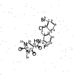 Cc1c(-c2cccc(Br)c2Cl)ccc(F)c1NC(=O)c1cn(C)c(=O)n(C)c1=O